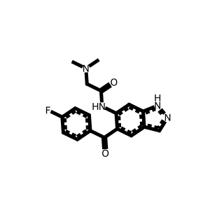 CN(C)CC(=O)Nc1cc2[nH]ncc2cc1C(=O)c1ccc(F)cc1